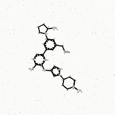 CNCc1cc(-c2cnc(N)c(Oc3cnn(C4CCN(C)CC4)c3)n2)cc(N2CCCC2C)c1